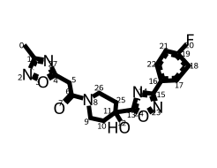 Cc1noc(CC(=O)N2CCC(O)(c3nc(-c4ccc(F)cc4)no3)CC2)n1